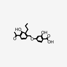 CCCc1c(COc2ccc(C(=O)O)c(O)c2)ccc(C(C)=O)c1O